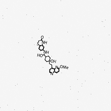 COc1ccc2nccc(CCC3(O)CCC(C(O)Nc4ccc5c(c4)NC(=O)CS5)CC3)c2n1